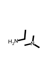 CCN.CN(C)C